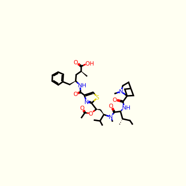 CC[C@H](C)[C@H](NC(=O)C12CC(CCN1C)C2)C(=O)N(C)[C@H](C[C@@H](OC(C)=O)c1nc(C(=O)N[C@@H](Cc2ccccc2)C[C@H](C)C(=O)O)cs1)C(C)C